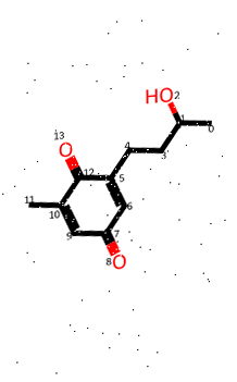 C[C](O)CCC1=CC(=O)C=C(C)C1=O